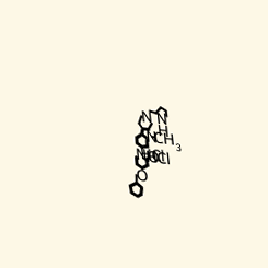 Cl.Cl.Cn1c2c(c3ccc(-n4ccc(OCc5ccccc5)cc4=O)cc31)CCN(CC1CCCN1)C2